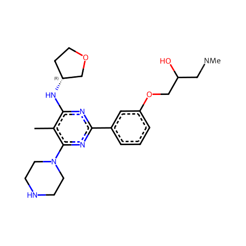 CNCC(O)COc1cccc(-c2nc(N[C@@H]3CCOC3)c(C)c(N3CCNCC3)n2)c1